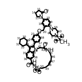 CS(=O)(=O)N1CCN(c2ccc(N3CCCC3=O)cc2COc2ccc(-c3c(C4CCCCC4)c4ccc5cc4n3CC(=O)NCC/C=C\CCS(=O)(=O)NC5=O)cc2)CC1